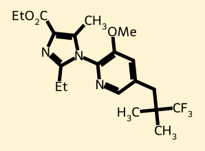 CCOC(=O)c1nc(CC)n(-c2ncc(CC(C)(C)C(F)(F)F)cc2OC)c1C